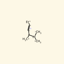 CC/C=C/C(C)N(C)C